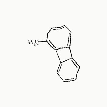 [CH2]c1cccc2c1-c1ccccc1-2